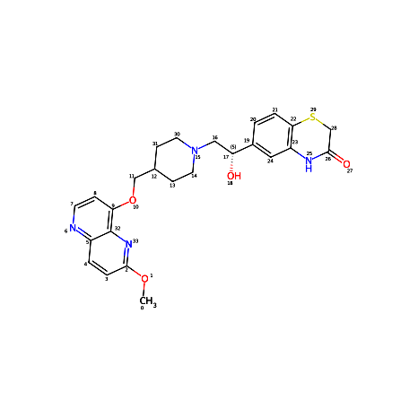 COc1ccc2nccc(OCC3CCN(C[C@@H](O)c4ccc5c(c4)NC(=O)CS5)CC3)c2n1